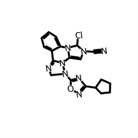 N#CN1C=C2N(c3ccccc3C3=NCN(c4nc(C5CCCC5)no4)N23)C1Cl